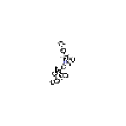 C=C/C(=N\[C@@H](C(=C)C(CC)c1ccc(C2C=CC=CC2C)cc1)c1ccccc1)c1ccc(-c2nc3cccc(-c4cccc5ccccc45)c3c3sc4ccccc4c23)cc1